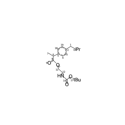 CC(C)Cc1ccc(C(C)C(=O)OCCNC(=O)OC(C)(C)C)cc1